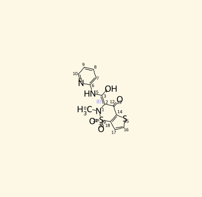 CN1/C(=C(/O)Nc2ccccn2)C(=O)c2sccc2S1(=O)=O